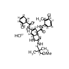 COCC(C)(C)CNc1nc2c(C(=O)Nc3cccc(Cl)c3C)cc(NC(=O)c3ccccc3C(F)(F)F)cc2[nH]1.Cl